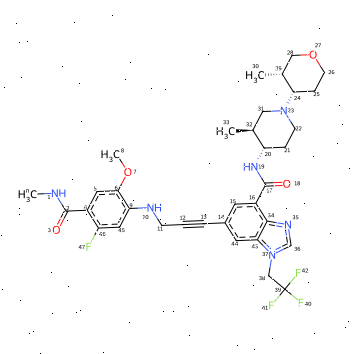 CNC(=O)c1cc(OC)c(NCC#Cc2cc(C(=O)N[C@H]3CCN([C@H]4CCOC[C@H]4C)C[C@@H]3C)c3ncn(CC(F)(F)F)c3c2)cc1F